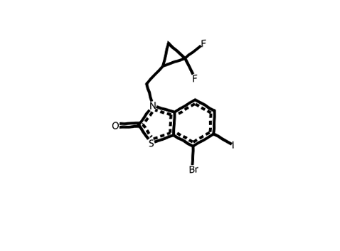 O=c1sc2c(Br)c(I)ccc2n1CC1CC1(F)F